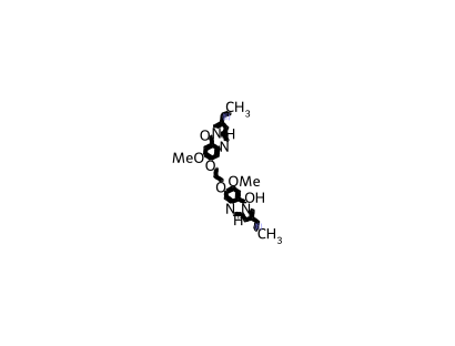 C/C=C/C1=CN2C(=O)c3cc(OC)c(OCCCOc4cc5c(cc4OC)C(O)N4C=C(/C=C/C)C[C@H]4C=N5)cc3N=C[C@@H]2C1